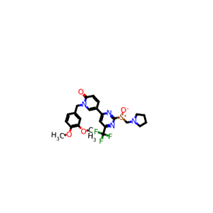 COc1ccc(Cn2cc(-c3cc(C(F)(F)F)nc([S+]([O-])CN4CCCC4)n3)ccc2=O)cc1OC